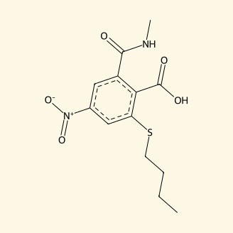 CCCCSc1cc([N+](=O)[O-])cc(C(=O)NC)c1C(=O)O